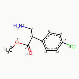 COC(=O)C(CN)c1ccc(Cl)cc1